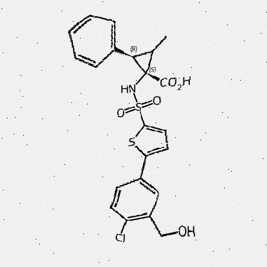 CC1[C@H](c2ccccc2)[C@]1(NS(=O)(=O)c1ccc(-c2ccc(Cl)c(CO)c2)s1)C(=O)O